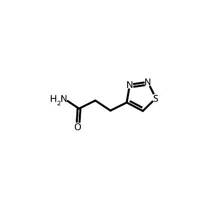 NC(=O)CCc1csnn1